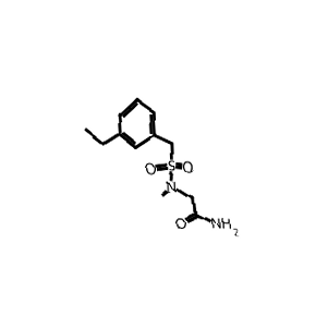 CCc1cccc(CS(=O)(=O)N(C)CC(N)=O)c1